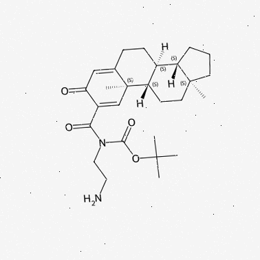 CC(C)(C)OC(=O)N(CCN)C(=O)C1=C[C@@]2(C)C(=CC1=O)CC[C@H]1[C@@H]3CCC[C@@]3(C)CC[C@@H]12